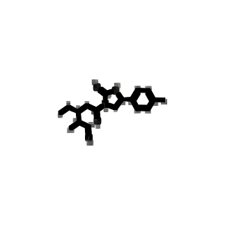 CC[C@@H](CC(=O)N1C[C@H](c2ccc(C)cc2)OC1=O)C(C)C=O